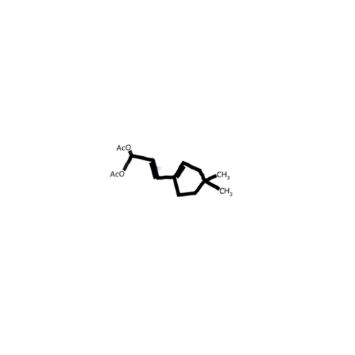 CC(=O)OC(/C=C/C1=CCC(C)(C)CC1)OC(C)=O